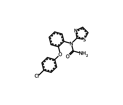 NC(=O)N(c1nccs1)c1ccccc1Oc1ccc(Cl)cc1